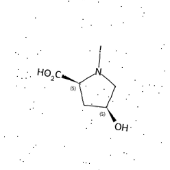 O=C(O)[C@@H]1C[C@H](O)CN1I